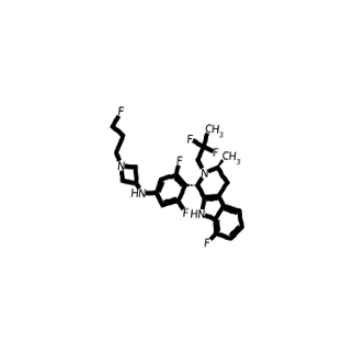 C[C@H]1Cc2c([nH]c3c(F)cccc23)[C@H](c2c(F)cc(NC3CN(CCCF)C3)cc2F)N1CC(C)(F)F